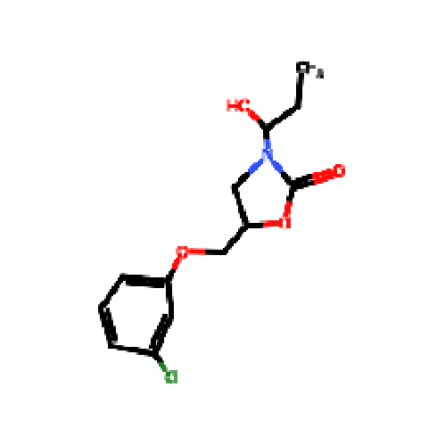 CCC(O)N1CC(COc2cccc(Cl)c2)OC1=O